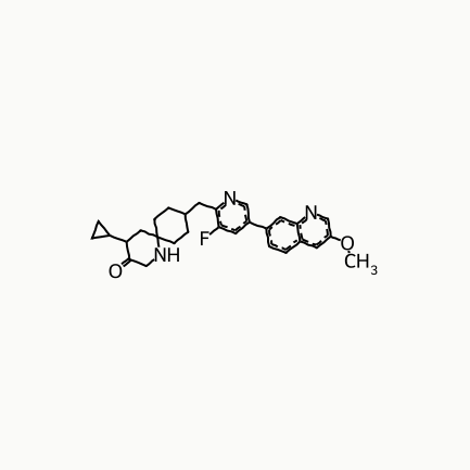 COc1cnc2cc(-c3cnc(CC4CCC5(CC4)CC(C4CC4)C(=O)CN5)c(F)c3)ccc2c1